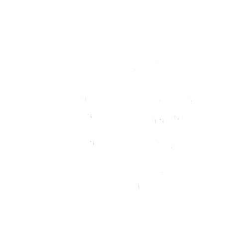 Cn1cnc(-c2cc(Cl)c(F)c(C(=O)NNS(=O)(=O)CC3CC4CCC3C4)c2)c1